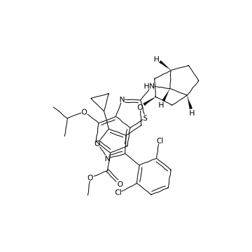 COC(=O)c1cc(OC(C)C)c2nc(N[C@H]3[C@@H]4CC[C@H]3C[C@H](OCc3c(-c5c(Cl)cccc5Cl)noc3C3CC3)C4)sc2c1